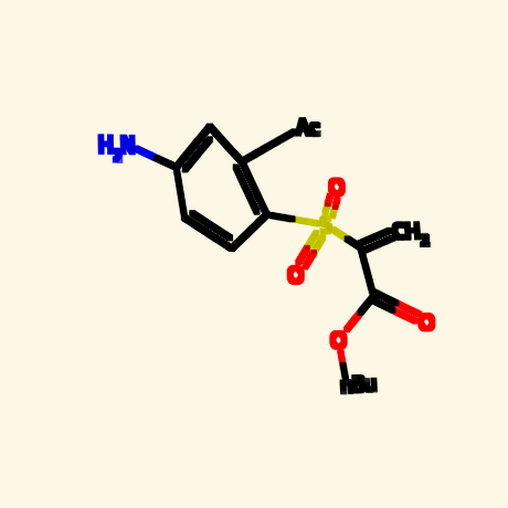 C=C(C(=O)OCCCC)S(=O)(=O)c1ccc(N)cc1C(C)=O